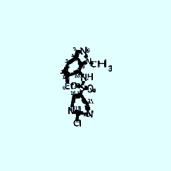 CCc1ccc2cnn(C)c2c1NS(=O)(=O)c1cnc(Cl)nc1